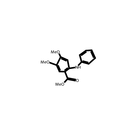 COC(=O)c1cc(OC)c(OC)cc1Nc1ccccc1